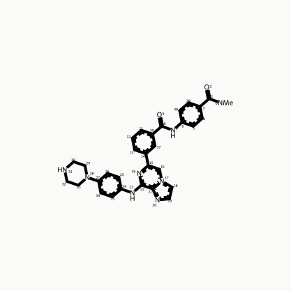 CNC(=O)c1ccc(NC(=O)c2cccc(-c3cn4ccnc4c(Nc4ccc(N5CCNCC5)cc4)n3)c2)cc1